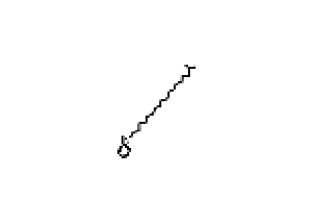 CC(C)CCCCCCCCCCCCCCCCCNc1ccccc1